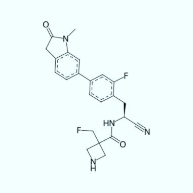 CN1C(=O)Cc2ccc(-c3ccc(C[C@@H](C#N)NC(=O)C4(CF)CNC4)c(F)c3)cc21